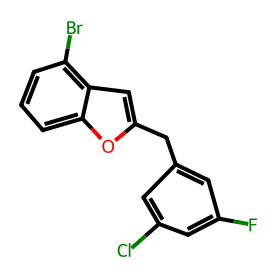 Fc1cc(Cl)cc(Cc2cc3c(Br)cccc3o2)c1